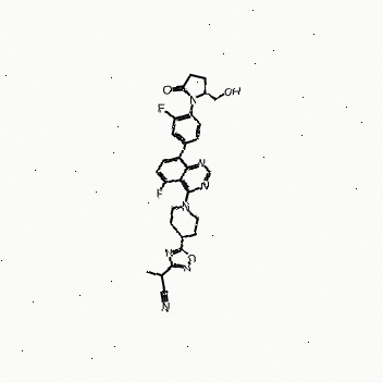 CC(C#N)c1noc(C2CCN(c3ncnc4c(-c5ccc(N6C(=O)CC[C@H]6CO)c(F)c5)ccc(F)c34)CC2)n1